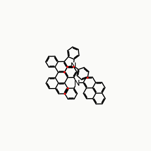 c1ccc(N(c2ccccc2-c2cccc3cccc(-c4cc5c(c6ccccc46)c4ccccc4n5-c4ccccc4)c23)c2ccc3ccc4cccc5ccc2c3c45)cc1